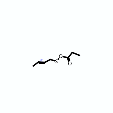 C/C=C/CSOC(=O)CC